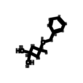 CC1(OCc2ccccc2)CC(O)(O)C1